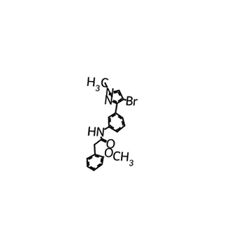 COc1ccccc1CC(=O)Nc1cccc(-c2nn(C)cc2Br)c1